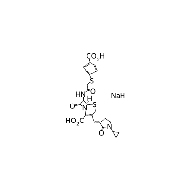 O=C(CSc1ccc(C(=O)O)cc1)N[C@@H]1C(=O)N2C(C(=O)O)=C(/C=C3\CCN(C4CC4)C3=O)CS[C@H]12.[NaH]